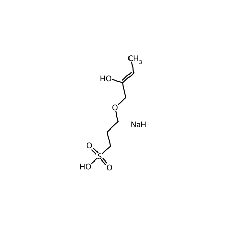 CC=C(O)COCCCS(=O)(=O)O.[NaH]